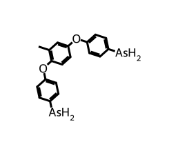 Cc1cc(Oc2ccc([AsH2])cc2)ccc1Oc1ccc([AsH2])cc1